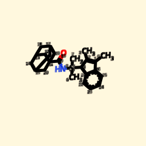 CC1=C(C)C([Si](C)(C)NC(=O)C23CC4CC(CC(C4)C2)C3)c2ccccc21